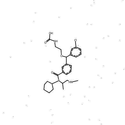 CNCC(C)N(C(=O)c1cccc(C(OCCNC(=O)O)c2cccc(Cl)c2)c1)C1CCCCC1